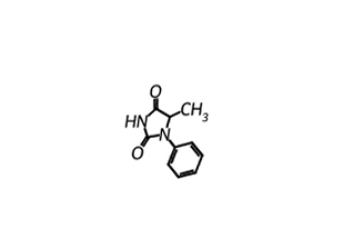 CC1C(=O)NC(=O)N1c1ccccc1